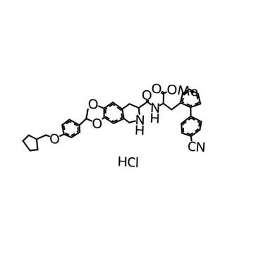 COC(=O)C(Cc1ccccc1-c1ccc(C#N)cc1)NC(=O)C1Cc2cc3c(cc2CN1)OC(c1ccc(OCC2CCCC2)cc1)CO3.Cl